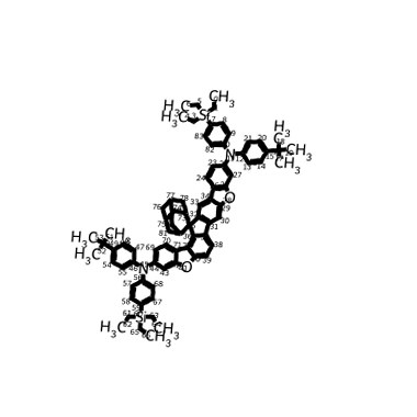 CC[Si](CC)(CC)c1ccc(N(c2ccc(C(C)(C)C)cc2)c2ccc3c(c2)oc2cc4c(cc23)C2(c3c-4ccc4oc5cc(N(c6ccc(C(C)(C)C)cc6)c6ccc([Si](CC)(CC)CC)cc6)ccc5c34)C3CC4CC(C3)CC2C4)cc1